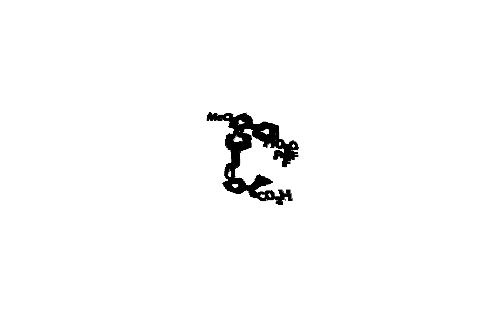 COc1ccc(-c2ccncc2)c(N2CCC(COc3cccc(C(CC(=O)O)C4CC4)c3)CC2)c1.O=C(O)C(F)(F)F